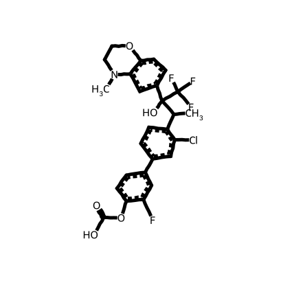 CC(c1ccc(-c2ccc(OC(=O)O)c(F)c2)cc1Cl)C(O)(c1ccc2c(c1)N(C)CCO2)C(F)(F)F